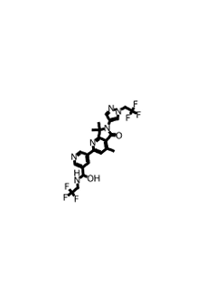 Cc1cc(-c2cncc(C(O)NCC(F)(F)F)c2)nc2c1C(=O)N(c1cnn(CC(F)(F)F)c1)C2(C)C